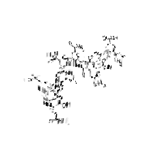 CC(C)C[C@H](NC(=O)[C@H](CCC(N)=O)NC(=O)[C@H](CCC(N)=O)NC(=O)[C@@H](NC(=O)[C@H](CCC(N)=O)NC(=O)[C@H](CCC(=O)O)NC(=O)[C@H](CCC(=O)O)NC(=O)[C@@H](N)CC(C)C)C(C)C)C(=O)N[C@@H](CCC(=O)O)C(=O)N[C@@H](C)C(=O)N[C@@H](CCC(N)=O)C(=O)O